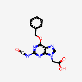 O=C=Nc1nc(OCc2ccccc2)c2ncn(CC(=O)O)c2n1